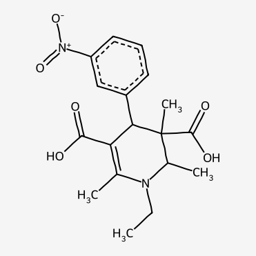 CCN1C(C)=C(C(=O)O)C(c2cccc([N+](=O)[O-])c2)C(C)(C(=O)O)C1C